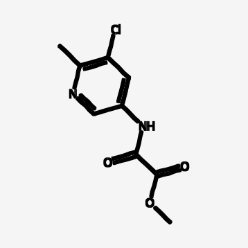 COC(=O)C(=O)Nc1cnc(C)c(Cl)c1